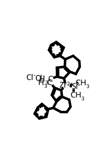 CC1=CC2=C(CCCCC2c2ccccc2)[CH]1[Zr+2]([CH]1C(C)=CC2=C1CCCCC2c1ccccc1)=[Si](C)C.[Cl-].[Cl-]